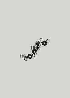 O=C(Nc1ccc(OC2CCC(C(=O)O)CC2)nc1)c1nnc(Nc2cccc(Cl)c2)o1